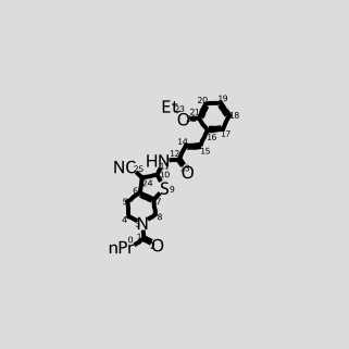 CCCC(=O)N1CCC2=C(C1)SC(NC(=O)/C=C/c1ccccc1OCC)C2C#N